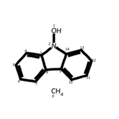 C.On1c2ccccc2c2ccccc21